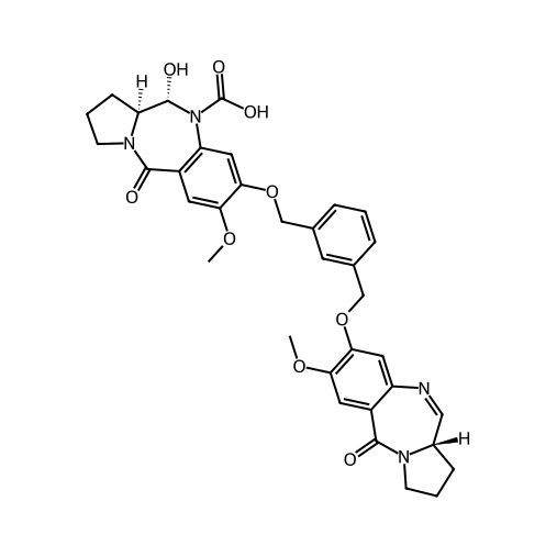 COc1cc2c(cc1OCc1cccc(COc3cc4c(cc3OC)C(=O)N3CCC[C@H]3[C@H](O)N4C(=O)O)c1)N=C[C@@H]1CCCN1C2=O